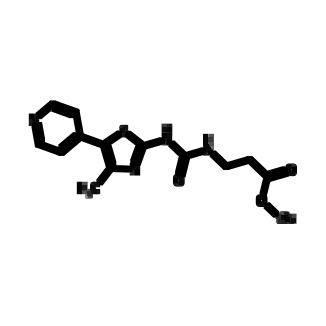 Cc1nc(NC(=O)NCCC(=O)OC(C)(C)C)sc1-c1ccncc1